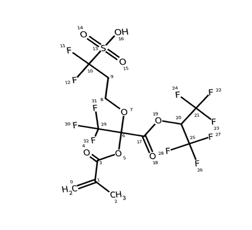 C=C(C)C(=O)OC(OCCC(F)(F)S(=O)(=O)O)(C(=O)OC(C(F)(F)F)C(F)(F)F)C(F)(F)F